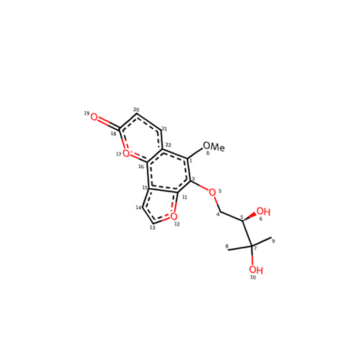 COc1c(OC[C@@H](O)C(C)(C)O)c2occc2c2oc(=O)ccc12